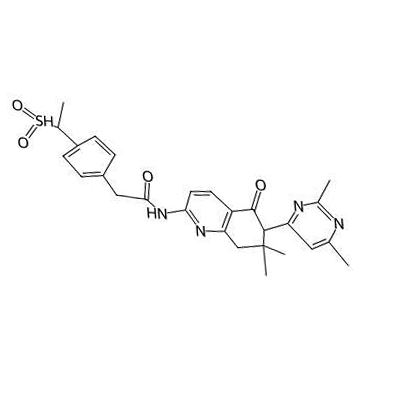 Cc1cc(C2C(=O)c3ccc(NC(=O)Cc4ccc(C(C)[SH](=O)=O)cc4)nc3CC2(C)C)nc(C)n1